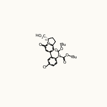 CC(C)(C)OC(=O)N(C(=O)OC(C)(C)C)c1ccc(Cl)cc1-c1cc2n(c(=O)c1)[C@H](C(=O)O)CC2